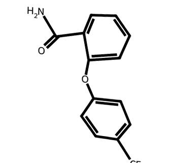 NC(=O)c1ccccc1Oc1ccc(C(F)(F)F)cc1